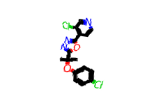 CC(C)(Oc1ccc(Cl)cc1)c1nnc(-c2ccncc2Cl)o1